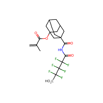 C=C(C)C(=O)OC12CC3CC(C1)CC(C(=O)NC(=O)C(F)(F)C(F)(F)C(F)(F)C(=O)O)(C3)C2